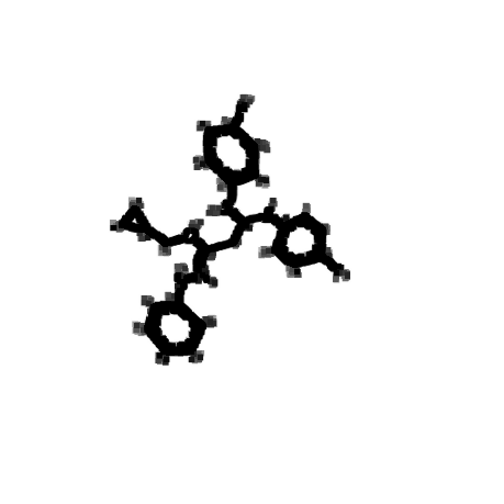 Fc1ccc(SC(C/C(=N/Sc2ccccc2)OCC2CC2)Sc2ccc(F)cc2)cc1